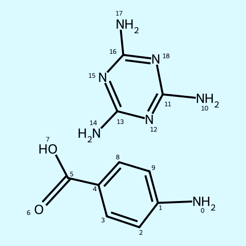 Nc1ccc(C(=O)O)cc1.Nc1nc(N)nc(N)n1